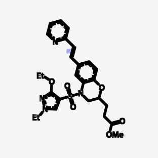 CCOc1nn(CC)cc1S(=O)(=O)N1CC(CCC(=O)OC)Oc2ccc(/C=C/c3ccccn3)cc21